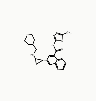 Cc1nnc(NC(=O)c2cc([C@@H]3C[C@H]3NCC3CCOCC3)cc3ccccc23)s1